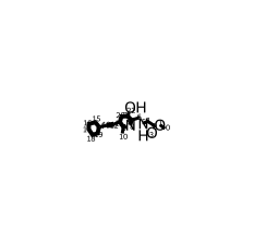 COC(=O)CNCc1nc(C)c(C#Cc2ccccc2)cc1O